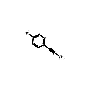 [CH2]C#Cc1ccc(C#N)cc1